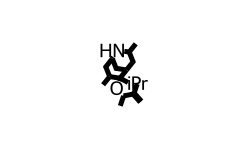 C=C(C)C(C)OC1(C(C)C)C(C)CC2CC1CC(C)N2